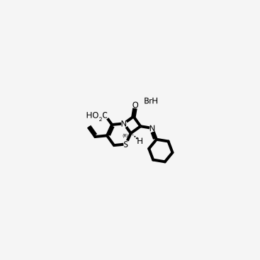 Br.C=CC1=C(C(=O)O)N2C(=O)C(N=C3CCCCC3)[C@H]2SC1